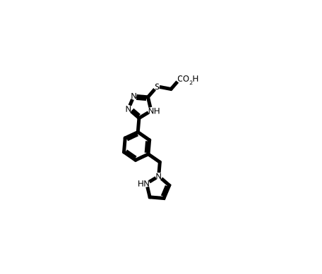 O=C(O)CSc1nnc(-c2cccc(CN3C=CCN3)c2)[nH]1